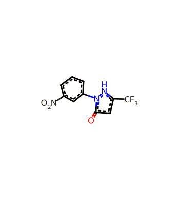 O=c1cc(C(F)(F)F)[nH]n1-c1cccc([N+](=O)[O-])c1